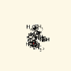 CC1(C)O[C@H]([C@H](CC2CCC(=O)CC2)NC(=O)[C@H](Cc2c[nH]cn2)NC(=O)[C@H](Cc2ccccc2)CS(=O)(=O)C(C)(C)C)[C@H](C2CC2)O1